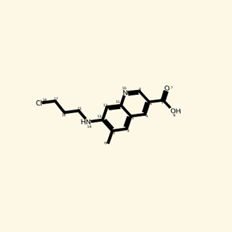 Cc1cc2cc(C(=O)O)cnc2cc1NCCCCl